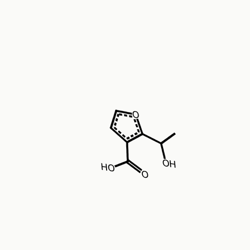 CC(O)c1occc1C(=O)O